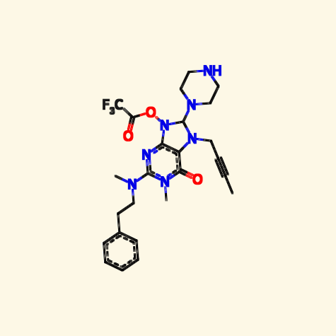 CC#CCN1c2c(nc(N(C)CCc3ccccc3)n(C)c2=O)N(OC(=O)C(F)(F)F)C1N1CCNCC1